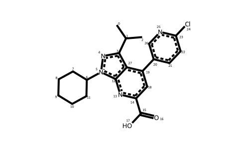 CC(C)c1nn(C2CCCCC2)c2nc(C(=O)O)cc(-c3ccc(Cl)nc3)c12